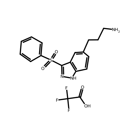 NCCCc1ccc2[nH]nc(S(=O)(=O)c3ccccc3)c2c1.O=C(O)C(F)(F)F